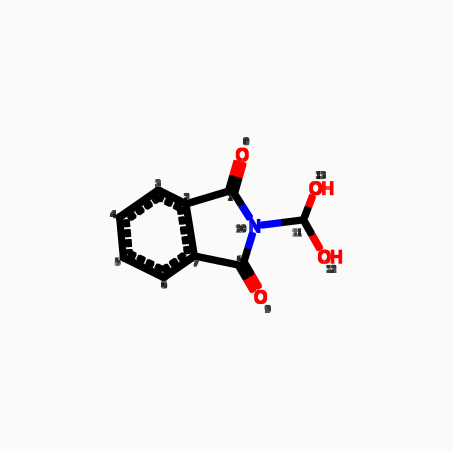 O=C1c2ccccc2C(=O)N1C(O)O